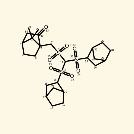 CC1(C)C2CCC1(CS(=O)(=O)C(S(=O)(=O)C1CC3CCC1C3)S(=O)(=O)C1CC3CCC1C3)C(=O)C2